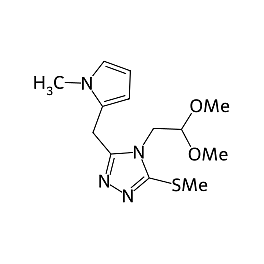 COC(Cn1c(Cc2cccn2C)nnc1SC)OC